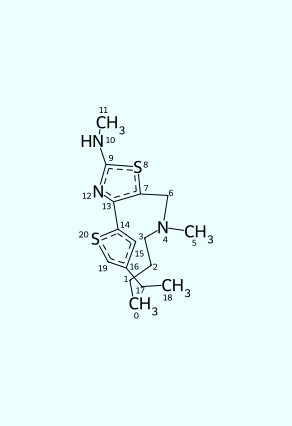 CCCCN(C)Cc1sc(NC)nc1-c1cc(CC)cs1